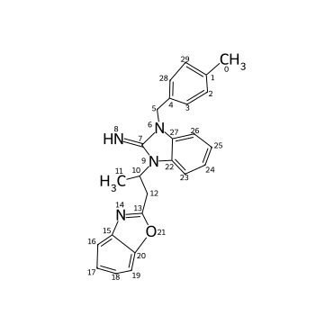 Cc1ccc(Cn2c(=N)n(C(C)Cc3nc4ccccc4o3)c3ccccc32)cc1